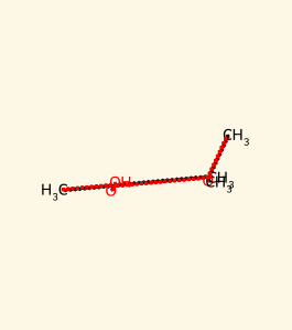 CCCCCCCCCCCCCCCCCCCCCC(C=O)C(O)CCCCCCCCCCCCCCCCCCC/C=C/CCCCCCCCCCCCCCCCCC(OC)C(C)CCCCCCCCCCCCCCCCCCC